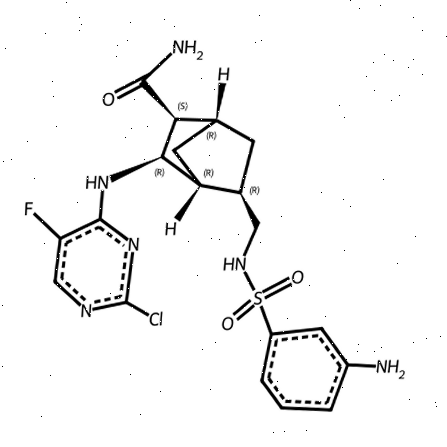 NC(=O)[C@H]1[C@@H]2C[C@@H](CNS(=O)(=O)c3cccc(N)c3)[C@@H](C2)[C@H]1Nc1nc(Cl)ncc1F